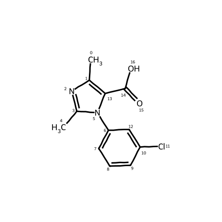 Cc1nc(C)n(-c2cccc(Cl)c2)c1C(=O)O